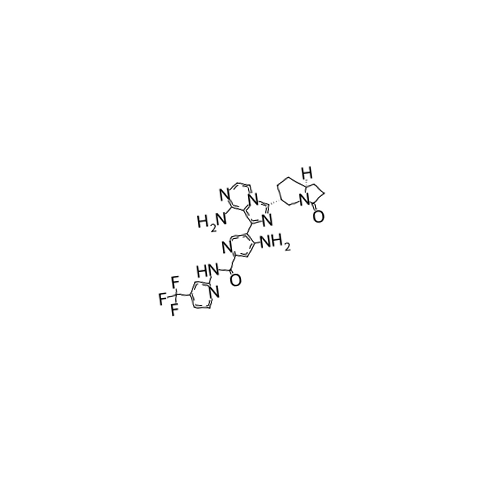 Nc1cc(C(=O)Nc2cc(C(F)(F)F)ccn2)ncc1-c1nc([C@@H]2CC[C@H]3CCC(=O)N3C2)n2ccnc(N)c12